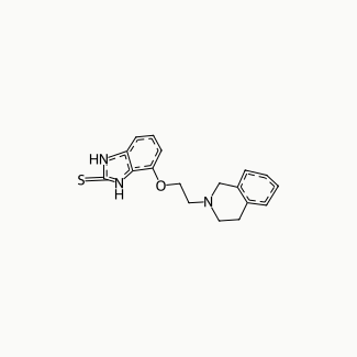 S=c1[nH]c2cccc(OCCN3CCc4ccccc4C3)c2[nH]1